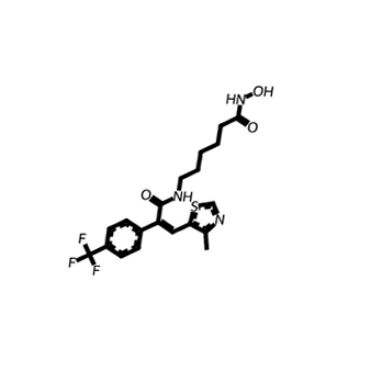 Cc1ncsc1C=C(C(=O)NCCCCCC(=O)NO)c1ccc(C(F)(F)F)cc1